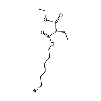 CCOC(=O)C(CC)C(=O)OCCCCCCBr